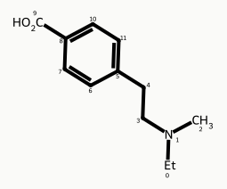 CCN(C)CCc1ccc(C(=O)O)cc1